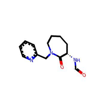 O=[C]N[C@H]1CCCCN(Cc2ccccn2)C1=O